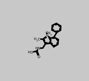 Cc1c(CNC(=O)O)c2cccc(-c3ccccc3)c2n1C